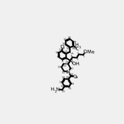 COCCCC[C@@](O)(c1cccc(Cl)c1Cc1ccccc1C)[C@@H]1CCCN(C(=O)c2ccc(CN)cc2)C1